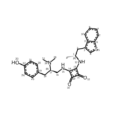 C[C@H](Cc1csc2ccccc12)Nc1c(NC[C@@H](Cc2ccc(O)cc2)N(C)C)c(=O)c1=O